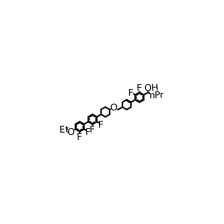 CCCC(O)c1ccc(C2=CCC(COC3CCC(c4ccc(-c5ccc(OCC)c(F)c5F)c(F)c4F)CC3)CC2)c(F)c1F